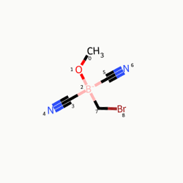 CO[B-](C#N)(C#N)CBr